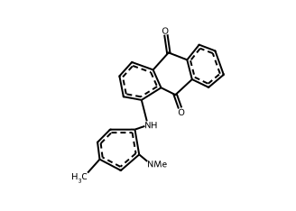 CNc1cc(C)ccc1Nc1cccc2c1C(=O)c1ccccc1C2=O